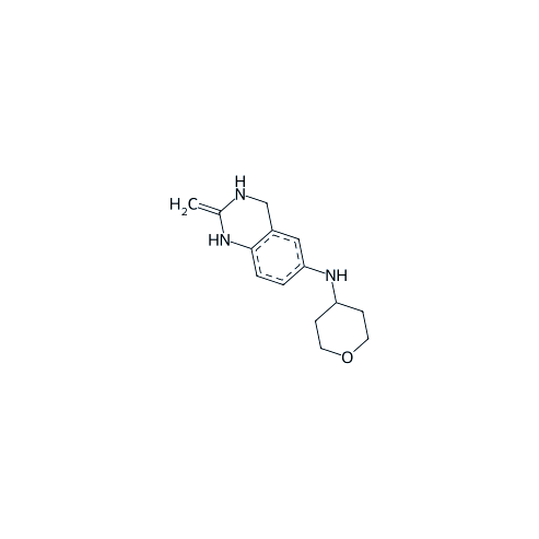 C=C1NCc2cc(NC3CCOCC3)ccc2N1